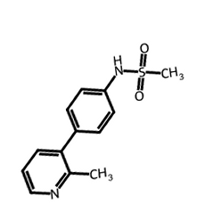 Cc1ncccc1-c1ccc(NS(C)(=O)=O)cc1